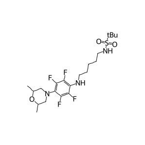 CC1CN(c2c(F)c(F)c(NCCCCCNS(=O)(=O)C(C)(C)C)c(F)c2F)CC(C)O1